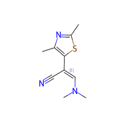 Cc1nc(C)c(/C(C#N)=C/N(C)C)s1